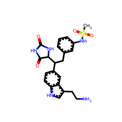 CS(=O)(=O)Nc1cccc(CC(c2ccc3[nH]cc(CCN)c3c2)C2NC(=O)NC2=O)c1